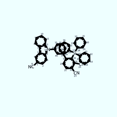 N#Cc1ccc2c(c1)c1ccccc1n2-c1cccc(-c2ccc(C#N)c(C#N)c2[Si](c2ccccc2)(c2ccccc2)c2ccccc2)c1